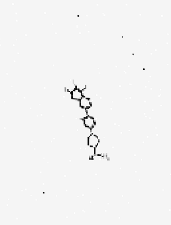 CCC(N)C1CCC(c2ccc(-c3ccc4c(F)c(F)c(F)cc4c3)c(F)c2)CC1